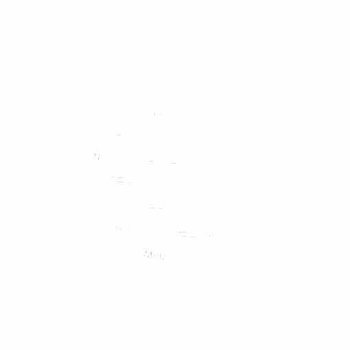 COC(=O)C1CCc2c(Br)cncc2C1O